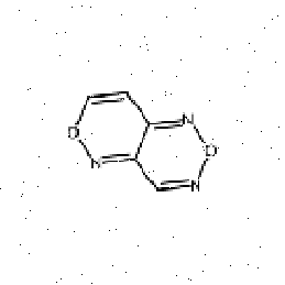 C1=CC2=NON=CC2=NO1